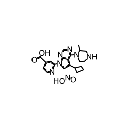 CC1CNCCN1c1ncnc2c1c(C1CCC1)cn2-c1cc(C(=O)O)ccn1.O=NO